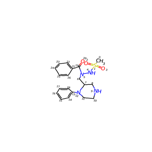 CS(=O)(=O)NN(CC1CNCCN1c1ccccc1)C(=O)c1ccccc1